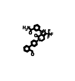 NC(=O)c1cccc(-n2nc(C(F)(F)F)c3c2C(=O)N(c2ccc(-c4ccccc4C=O)cc2)CC3)c1